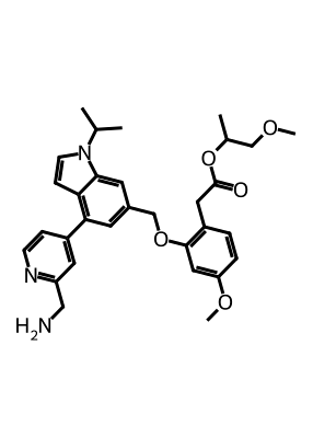 COCC(C)OC(=O)Cc1ccc(OC)cc1OCc1cc(-c2ccnc(CN)c2)c2ccn(C(C)C)c2c1